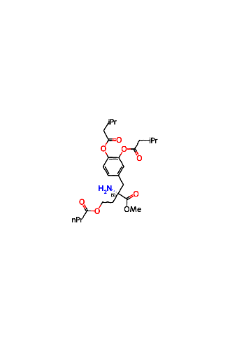 CCCC(=O)OCC[C@@](N)(Cc1ccc(OC(=O)CC(C)C)c(OC(=O)CC(C)C)c1)C(=O)OC